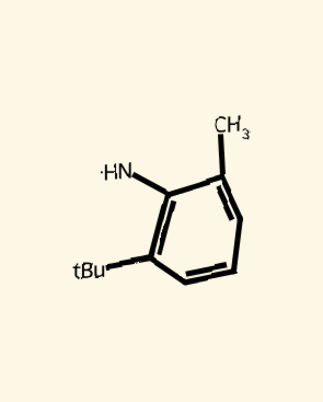 Cc1cccc(C(C)(C)C)c1[NH]